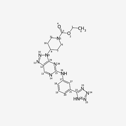 CCOC(=O)N1CCC(n2nnc3cnc(Nc4cccc(-c5nnn[nH]5)c4)nc32)CC1